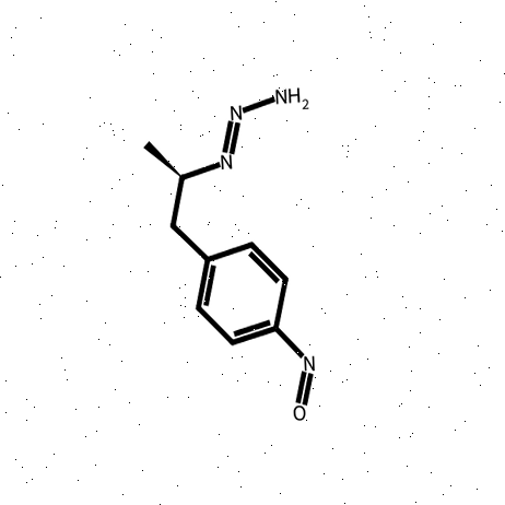 C[C@H](Cc1ccc(N=O)cc1)N=NN